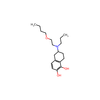 CCCCOCCN(CCC)C1CCc2c(ccc(O)c2O)C1